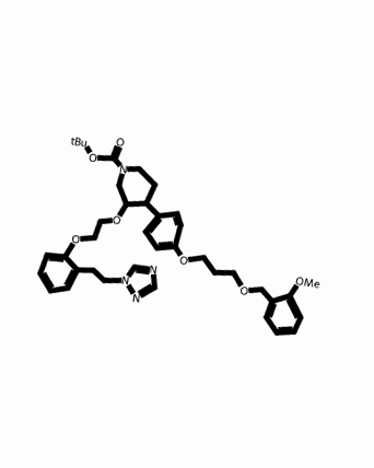 COc1ccccc1COCCCOc1ccc(C2CCN(C(=O)OC(C)(C)C)CC2OCCOc2ccccc2CCn2cncn2)cc1